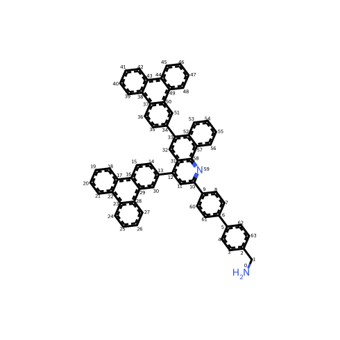 NCc1ccc(-c2ccc(-c3cc(-c4ccc5c6ccccc6c6ccccc6c5c4)c4cc(-c5ccc6c7ccccc7c7ccccc7c6c5)c5ccccc5c4n3)cc2)cc1